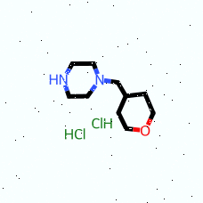 C1CN(CC2CCOCC2)CCN1.Cl.Cl